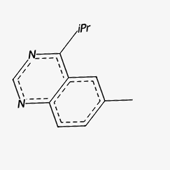 Cc1ccc2ncnc(C(C)C)c2c1